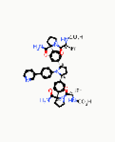 CC(C)[C@H](NC(=O)O)C(=O)N1CCC[C@@]1(C(N)=O)c1ccc([C@@H]2CC[C@@H](c3ccc([C@]4(C(N)=O)CCCN4C(=O)[C@@H](NC(=O)O)C(C)C)cc3)N2c2ccc(-c3cccnc3)cc2)cc1